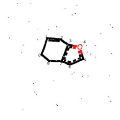 [CH]1C=Cc2occc2C1